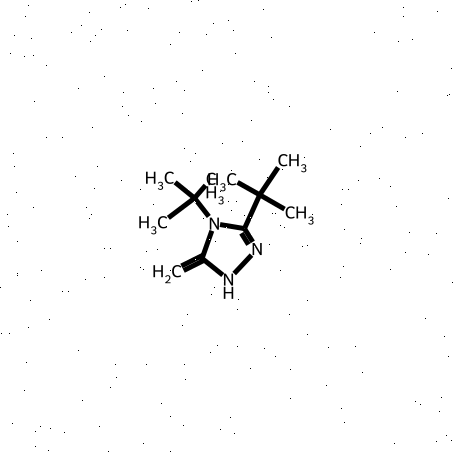 C=C1NN=C(C(C)(C)C)N1C(C)(C)C